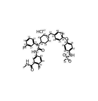 CNC(=O)c1cc(NC(=O)N(c2cccc(F)c2)C2CCN(Cc3ccc(Oc4ccc(NS(C)(=O)=O)cc4)nc3)CC2)ccc1F.Cl